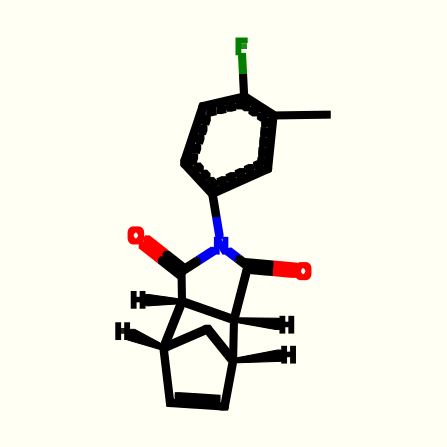 Cc1cc(N2C(=O)[C@@H]3[C@H](C2=O)[C@@H]2C=C[C@H]3C2)ccc1F